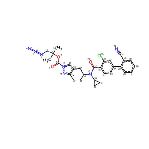 CC(C)(CN=[N+]=[N-])OC(=O)n1cc2c(n1)CCC(N(C(=O)c1ccc(-c3ccccc3C#N)cc1Cl)C1CC1)C2